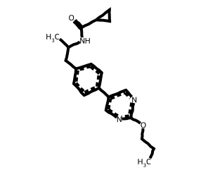 CCCOc1ncc(-c2ccc(CC(C)NC(=O)C3CC3)cc2)cn1